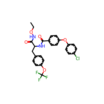 CCONC(=O)C(Cc1ccc(OC(F)(F)F)cc1)NC(=O)c1ccc(Oc2ccc(Cl)cc2)cc1